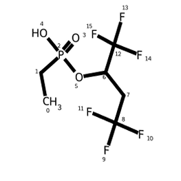 CCP(=O)(O)OC(CC(F)(F)F)C(F)(F)F